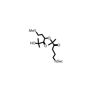 CCCCCCCCCCCCCC(=O)C(C)(C)OC(CCSC)C(=O)C(C)(C)O